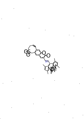 CC1=CC(C)=[N+]2C1=C(/C=C/c1cc3cc4c(cc3oc1=O)C#CCCS(=O)(=O)C4)c1c(C)cc(C)n1[B-]2(F)F